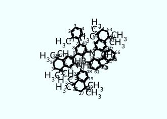 Cc1ccccc1-c1cc(-c2cc3c(cc2Nc2ccc4c(c2)C(C)(C)CCC4(C)C)C(C)(C)CCC3(C)C)c2c(c1)N(c1cc3c(cc1C)C(C)(C)CCC3(C)C)c1c(ccc3sc4ccccc4c13)B2